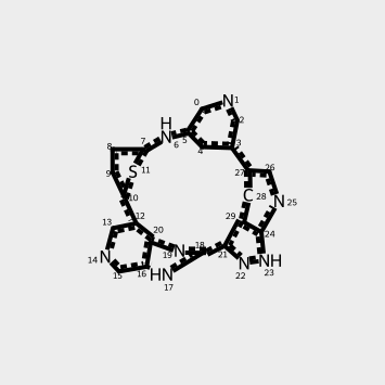 c1ncc2cc1[nH]c1ccc(s1)c1cncc3[nH]c(nc31)c1n[nH]c3ncc2cc31